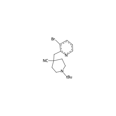 CC(C)(C)N1CCC(C#N)(Cc2ncccc2Br)CC1